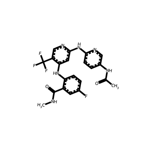 CNC(=O)c1cc(F)ccc1Nc1cc(Nc2ccc(NC(C)=O)cn2)ncc1C(F)(F)F